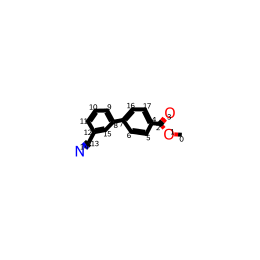 COC(=O)c1ccc(-c2cccc(C#N)c2)cc1